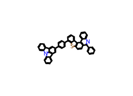 c1ccc(-c2nc3ccccc3c3c2ccc2sc4c(-c5ccc(-c6cc7c8ccccc8n8c9ccccc9c(c6)c78)cc5)cccc4c23)cc1